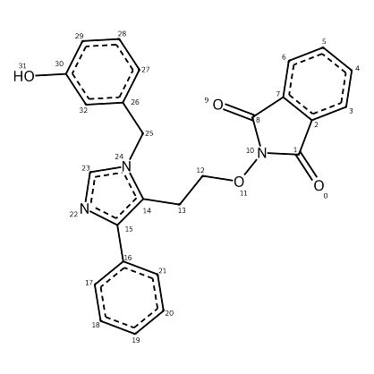 O=C1c2ccccc2C(=O)N1OCCc1c(-c2ccccc2)ncn1Cc1cccc(O)c1